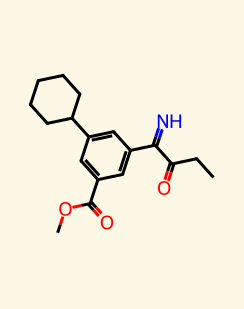 CCC(=O)C(=N)c1cc(C(=O)OC)cc(C2CCCCC2)c1